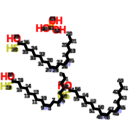 CCCCC/C=C\C/C=C\CCCCCCCC(O)S.CCCCC/C=C\C/C=C\CCCCCCCC(O)S.CCCCC/C=C\C/C=C\CCCCCCCC(O)S.OP(O)O